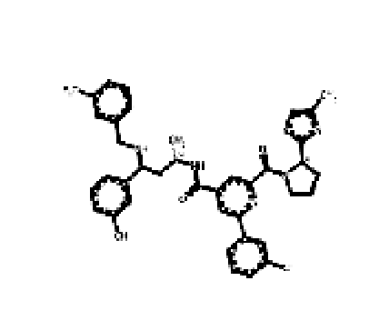 Cc1csc([C@H]2CCCN2C(=O)c2cc(C(=O)N[C@@H](C)CC(NCc3cccc(C(F)(F)F)c3)c3cccc(O)c3)cc(-c3cccc(Cl)c3)n2)n1